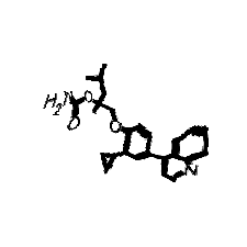 CC(C)CC(C)(COc1ccc(-c2ccnc3ccccc23)cc1C1CC1)OC(N)=O